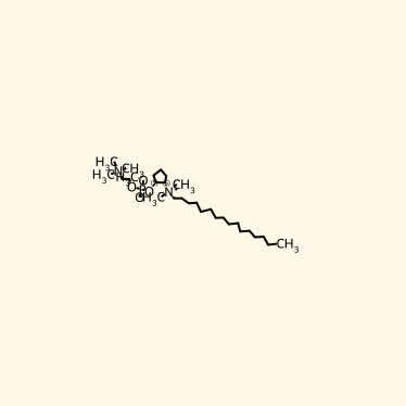 CCCCCCCCCCCCCCCC[N+](C)(C)[C@H]1CCC[C@@H]1OP(=O)(OC)OCC[N+](C)(C)C